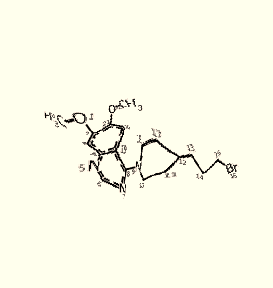 COc1cc2ncnc(N3CCC(CCCBr)CC3)c2cc1OC